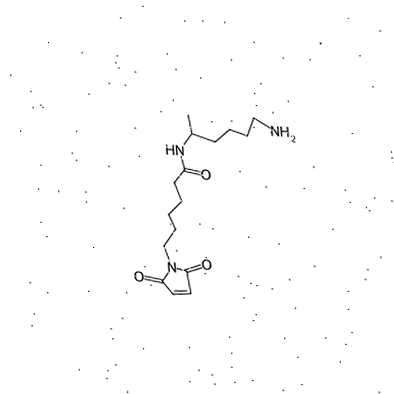 CC(CCCCN)NC(=O)CCCCCN1C(=O)C=CC1=O